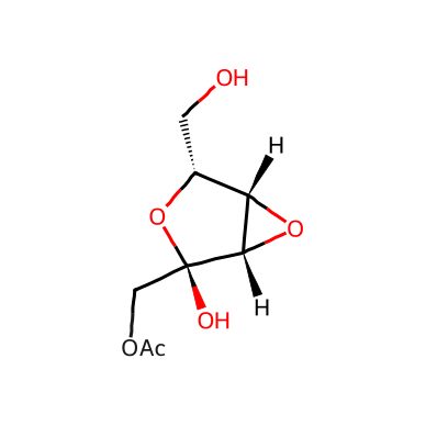 CC(=O)OC[C@]1(O)O[C@H](CO)[C@@H]2O[C@@H]21